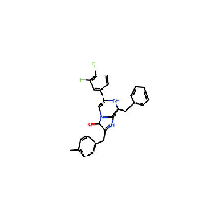 Cc1ccc(Cc2nc3c(Cc4ccccc4)[nH]c(-c4ccc(F)c(F)c4)cn-3c2=O)cc1